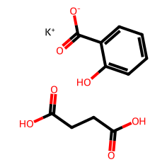 O=C(O)CCC(=O)O.O=C([O-])c1ccccc1O.[K+]